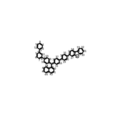 c1ccc(-c2cccc(-c3ccc(C(c4ccc(-c5ccc(-c6ccc7c(c6)oc6ccccc67)cc5)cc4)c4cccc5ccccc45)cc3)c2)cc1